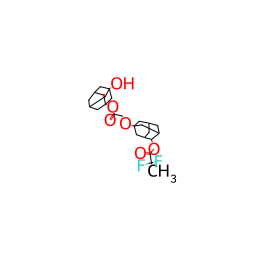 CC(F)(F)C(=O)OC1C2CC3CC1CC(OCC(=O)OC14CC5CC(CC(O)(C5)C1)C4)(C3)C2